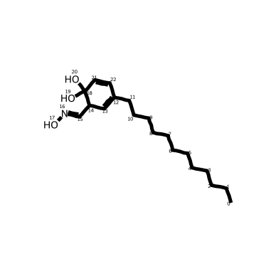 CCCCCCCCCCCCC1=CC(C=NO)C(O)(O)C=C1